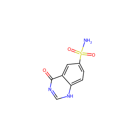 NS(=O)(=O)c1ccc2[nH]cnc(=O)c2c1